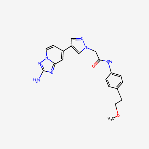 COCCc1ccc(NC(=O)Cn2cc(-c3ccn4nc(N)nc4c3)cn2)cc1